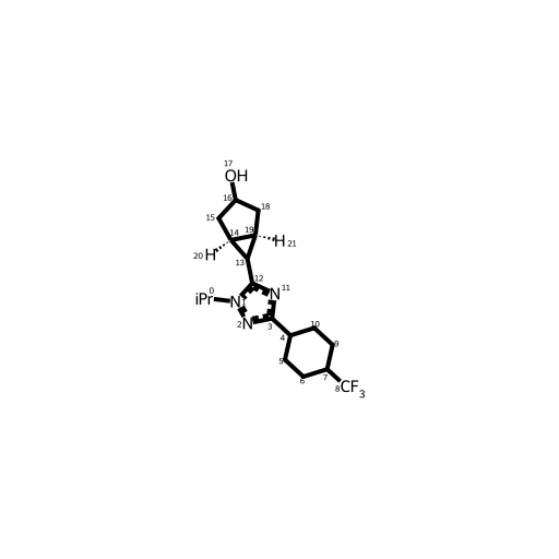 CC(C)n1nc(C2CCC(C(F)(F)F)CC2)nc1C1[C@H]2CC(O)C[C@@H]12